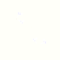 C=C1N=c2cccc(Oc3cccc4c3=NC(=C)N=4)c2=N1